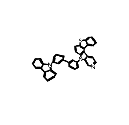 c1cc(-c2cccc(-n3c4cnccc4c4c5c(ccc43)sc3ccccc35)c2)cc(-n2c3ccccc3c3ccccc32)c1